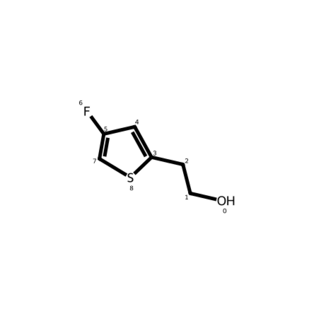 OCCc1cc(F)cs1